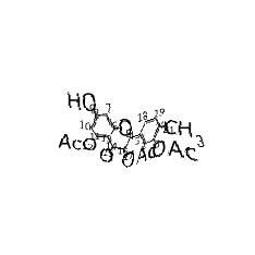 CC(=O)Oc1cc(C2Oc3cc(O)cc(OC(C)=O)c3C(=O)C2OC(C)=O)ccc1C